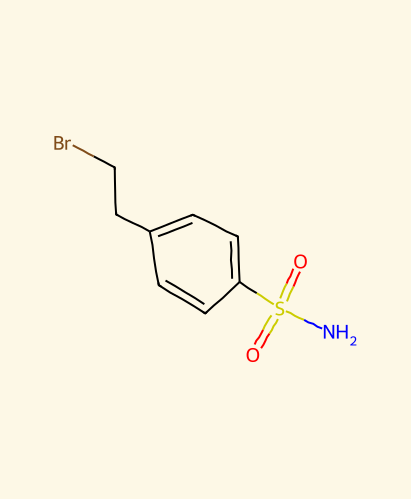 NS(=O)(=O)c1ccc(CCBr)cc1